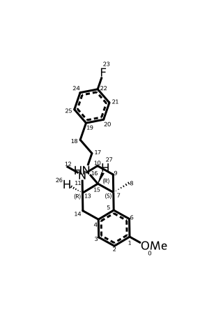 COc1ccc2c(c1)[C@]1(C)CCN(C)[C@H](C2)[C@@H]1NCCc1ccc(F)cc1